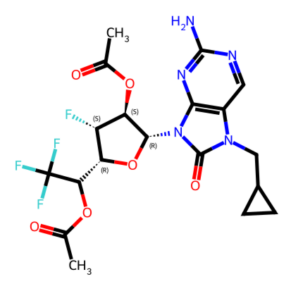 CC(=O)OC([C@H]1O[C@@H](n2c(=O)n(CC3CC3)c3cnc(N)nc32)[C@H](OC(C)=O)[C@H]1F)C(F)(F)F